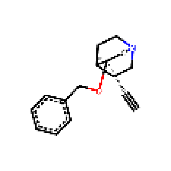 C#C[C@@]1(OCc2ccccc2)CN2CCC1CC2